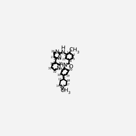 Cc1ccc(C(=O)Nc2ccc(C3CCN(C)CC3)cc2)cc1Nc1nccc(-c2cccnc2)n1